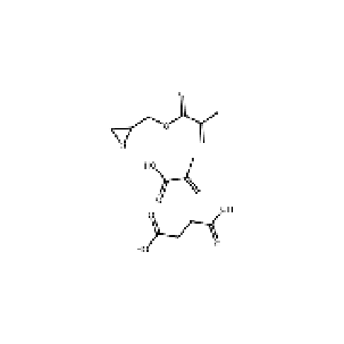 C=C(C)C(=O)O.C=C(C)C(=O)OCC1CO1.O=C(O)CCC(=O)O